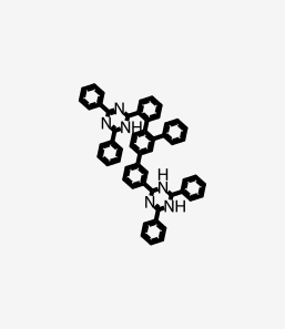 c1ccc(C2=NC(c3ccccc3-c3ccc(-c4cccc(C5N=C(c6ccccc6)NC(c6ccccc6)N5)c4)cc3-c3ccccc3)NC(c3ccccc3)=N2)cc1